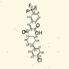 O=C(O)/C(=C\c1cccc(C(F)(F)F)c1)C(=O)[C@H]1CC[C@H](c2ccc(Cl)cc2)CC1